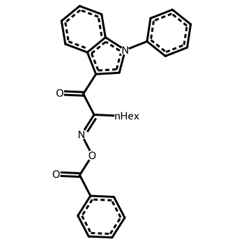 CCCCCC/C(=N\OC(=O)c1ccccc1)C(=O)c1cn(-c2ccccc2)c2ccccc12